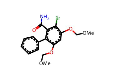 COCOc1cc(OCOC)c(-c2ccccc2)c(C(N)=O)c1Br